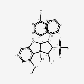 COc1cncc2c1[C@]1(O)[C@H](O)[C@@H](S(C)(=O)=O)[C@@H](c3ccccc3)[C@]1(c1ccc(Br)cc1)O2